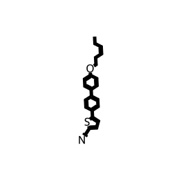 CC/C=C\CCOc1ccc(-c2ccc(-c3ccc(C#N)s3)cc2)cc1